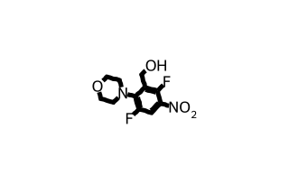 O=[N+]([O-])c1cc(F)c(N2CCOCC2)c(CO)c1F